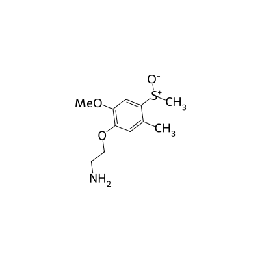 COc1cc([S+](C)[O-])c(C)cc1OCCN